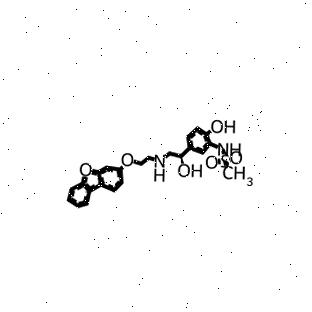 CS(=O)(=O)Nc1cc([C@@H](O)CNCCOc2ccc3c(c2)oc2ccccc23)ccc1O